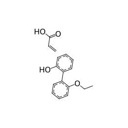 C=CC(=O)O.CCOc1ccccc1-c1ccccc1O